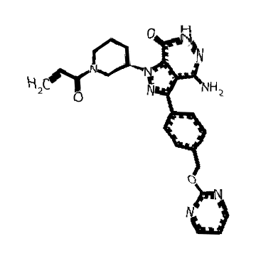 C=CC(=O)N1CCC[C@@H](n2nc(-c3ccc(COc4ncccn4)cc3)c3c(N)n[nH]c(=O)c32)C1